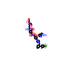 COCC(=O)N1CCOC(CCNc2ccc(S(=O)(=O)NC(=O)c3ccc(N4CCN(CC5=C(c6ccc(C(F)(F)F)cc6C)CC(C)(C)CC5)CC4)cc3Oc3cnc4[nH]ccc4c3)cc2[N+](=O)[O-])C1